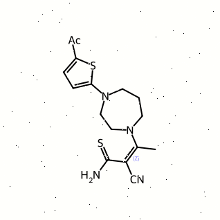 CC(=O)c1ccc(N2CCCN(/C(C)=C(/C#N)C(N)=S)CC2)s1